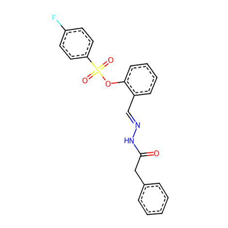 O=C(Cc1ccccc1)N/N=C/c1ccccc1OS(=O)(=O)c1ccc(F)cc1